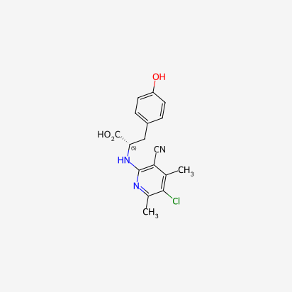 Cc1nc(N[C@@H](Cc2ccc(O)cc2)C(=O)O)c(C#N)c(C)c1Cl